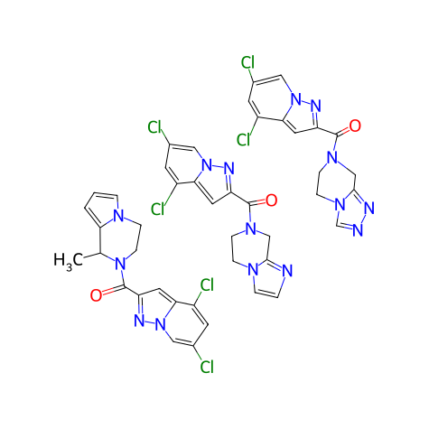 CC1c2cccn2CCN1C(=O)c1cc2c(Cl)cc(Cl)cn2n1.O=C(c1cc2c(Cl)cc(Cl)cn2n1)N1CCn2ccnc2C1.O=C(c1cc2c(Cl)cc(Cl)cn2n1)N1CCn2cnnc2C1